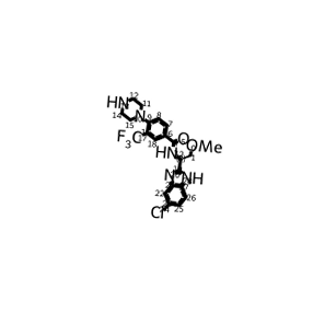 COC[C@H](NC(=O)c1ccc(N2CCNCC2)c(C(F)(F)F)c1)c1nc2cc(Cl)ccc2[nH]1